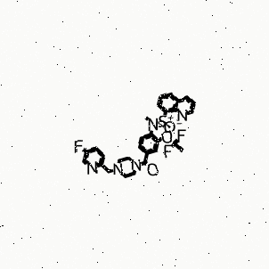 CN(c1ccc(C(=O)N2CCN(Cc3ccc(F)cn3)CC2)cc1OC(C)(F)F)[S@+]([O-])c1cccc2cccnc12